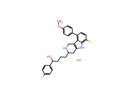 COc1ccc(-c2ccc(F)c3[nH]c4c(c23)CNC(CCCC(O)c2ccc(F)cc2)C4)cc1.Cl